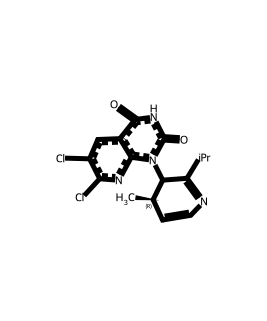 CC(C)C1=NC=C[C@@H](C)C1n1c(=O)[nH]c(=O)c2cc(Cl)c(Cl)nc21